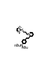 CCCCN(CCCC)c1ccc(/C=C/c2cccc[n+]2CCCSc2n(C)cc[n+]2C)cc1